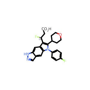 O=C(O)C[C@H](F)c1c(C2CCOCC2)n(-c2ccc(F)cc2)c2cc3cn[nH]c3cc12